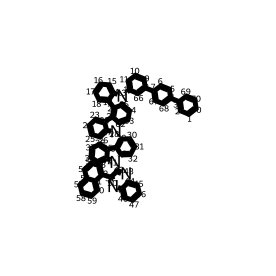 c1ccc(-c2ccc(-c3cccc(-n4c5ccccc5c5c6c7ccccc7n(-c7cccc8c7c7ccccc7n8-c7nc8ccccc8nc7-c7cccc8ccccc78)c6ccc54)c3)cc2)cc1